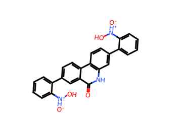 O=c1[nH]c2cc(-c3ccccc3[NH+]([O-])O)ccc2c2ccc(-c3ccccc3[NH+]([O-])O)cc12